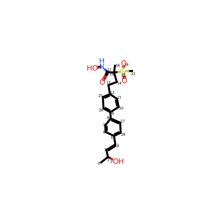 CC(O)/C=C/c1ccc(-c2ccc(CCC(C)(C(=O)NO)S(C)(=O)=O)cc2)cc1